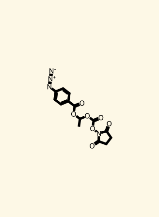 CC(OC(=O)ON1C(=O)CCC1=O)OC(=O)c1ccc(N=[N+]=[N-])cc1